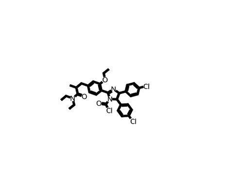 CCOc1cc(CC(C)C(=O)N(CC)CC)ccc1C1=NC(c2ccc(Cl)cc2)C(c2ccc(Cl)cc2)N1C(=O)Cl